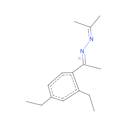 CCc1ccc(/C(C)=N/N=C(C)C)c(CC)c1